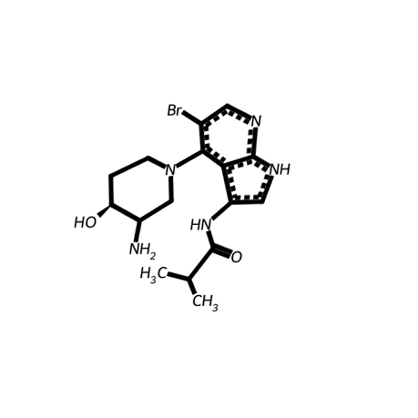 CC(C)C(=O)Nc1c[nH]c2ncc(Br)c(N3CC[C@H](O)C(N)C3)c12